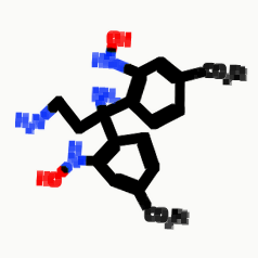 CCOC(=O)c1ccc(C(N)(CCN)c2ccc(C(=O)OCC)cc2NO)c(NO)c1